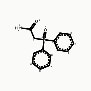 NC(=O)CP(=O)(c1ccccc1)c1ccccc1